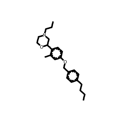 CCCCc1ccc(COc2ccc(C3CN(CCC)CCO3)c(C)c2)cc1